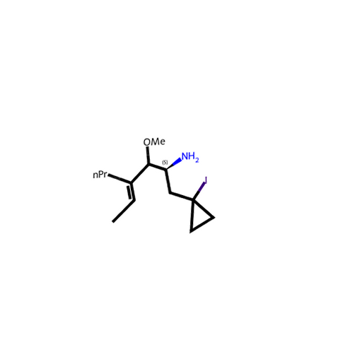 CC=C(CCC)C(OC)[C@@H](N)CC1(I)CC1